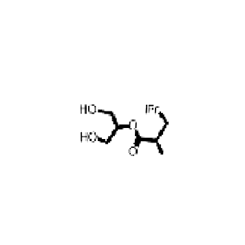 CC(C)CC(C)C(=O)OC(CO)CO